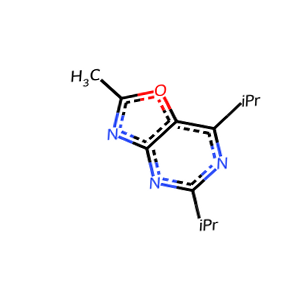 Cc1nc2nc(C(C)C)nc(C(C)C)c2o1